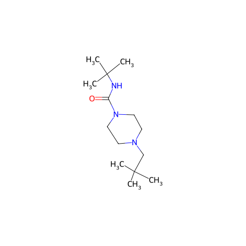 CC(C)(C)CN1CCN(C(=O)NC(C)(C)C)CC1